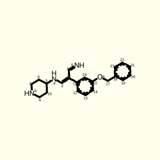 N=C/C(=C\NC1CCNCC1)c1cccc(OCc2ccccc2)c1